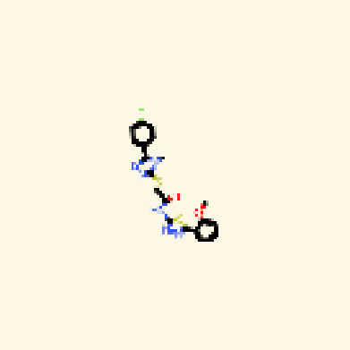 COc1ccccc1-c1nnc(NC(=O)CSc2nnc(-c3ccc(F)cc3)n2C)s1